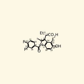 CC[C@H](C(=O)O)c1c(C)n(C(=O)c2ccc(F)c(F)c2)c2ccc(O)c(F)c12